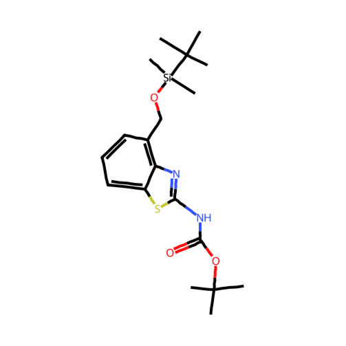 CC(C)(C)OC(=O)Nc1nc2c(CO[Si](C)(C)C(C)(C)C)cccc2s1